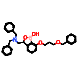 OB1O[C@H](CN(Cc2ccccc2)Cc2ccccc2)c2cccc(OCCCOCc3ccccc3)c21